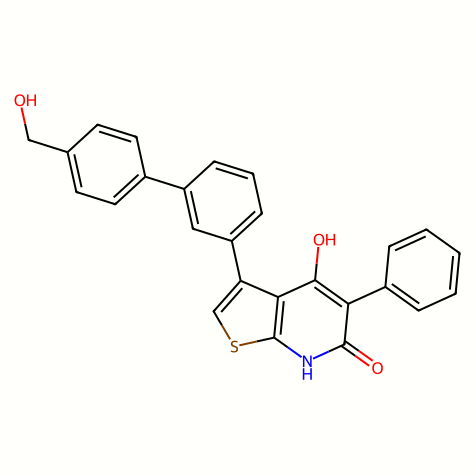 O=c1[nH]c2scc(-c3cccc(-c4ccc(CO)cc4)c3)c2c(O)c1-c1ccccc1